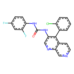 O=C(Nc1ccc(F)cc1F)Nc1cnc2cnccc2c1-c1ccccc1Cl